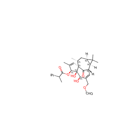 CC1=C[C@]23C(=O)[C@@H](C=C(COC=O)[C@@H](O)[C@]2(O)[C@H]1OC(=O)C(C)C(C)C)[C@H]1[C@@H](C[C@H]3C)C1(C)C